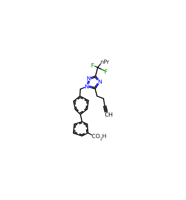 C#CCCc1nc(C(F)(F)CCC)nn1Cc1ccc(-c2cccc(C(=O)O)c2)cc1